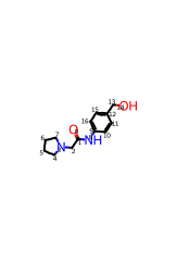 O=C(CN1CCCC1)Nc1ccc(CO)cc1